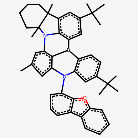 Cc1cc2c3c(c1)N1c4c(cc(C(C)(C)C)cc4C4(C)CCCCC14C)B3c1ccc(C(C)(C)C)cc1N2c1cccc2c1oc1ccccc12